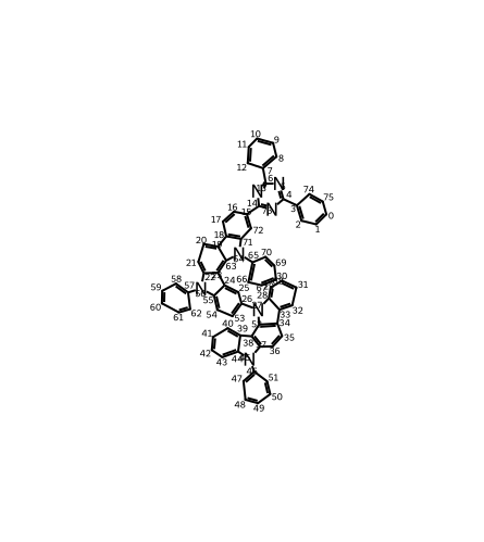 c1ccc(-c2nc(-c3ccccc3)nc(-c3ccc4c5ccc6c(c7cc(-n8c9ccccc9c9ccc%10c(c%11ccccc%11n%10-c%10ccccc%10)c98)ccc7n6-c6ccccc6)c5n(-c5ccccc5)c4c3)n2)cc1